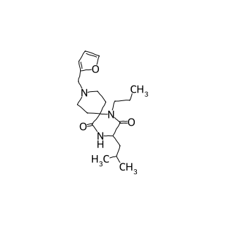 CCCN1C(=O)C(CC(C)C)NC(=O)C12CCN(Cc1ccco1)CC2